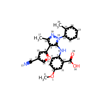 COc1ccc(Nc2c(-c3cc(C#N)co3)c(C)nn2-c2ccccc2C)c(C(=O)O)c1